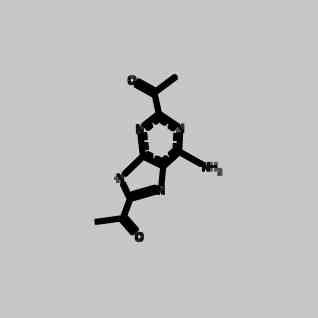 CC(=O)C1=Nc2c(N)nc(C(C)=O)nc2[N]1